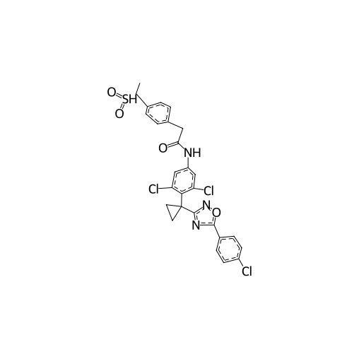 CC(c1ccc(CC(=O)Nc2cc(Cl)c(C3(c4noc(-c5ccc(Cl)cc5)n4)CC3)c(Cl)c2)cc1)[SH](=O)=O